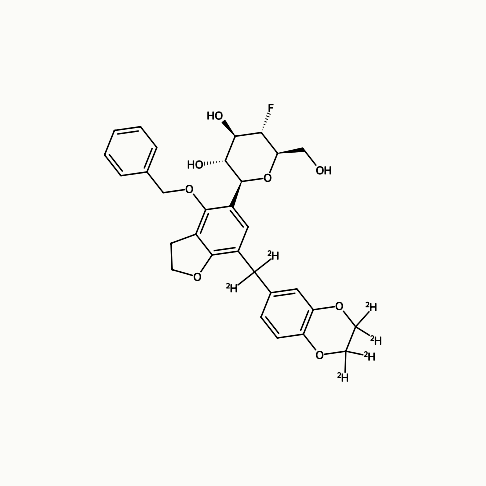 [2H]C([2H])(c1ccc2c(c1)OC([2H])([2H])C([2H])([2H])O2)c1cc([C@@H]2O[C@H](CO)[C@@H](F)[C@H](O)[C@H]2O)c(OCc2ccccc2)c2c1OCC2